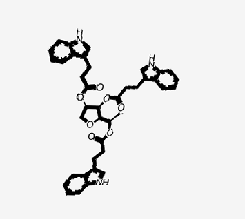 [CH2][C@@H](OC(=O)CCc1c[nH]c2ccccc12)[C@H]1OC[C@H](OC(=O)CCc2c[nH]c3ccccc23)[C@H]1OC(=O)CCc1c[nH]c2ccccc12